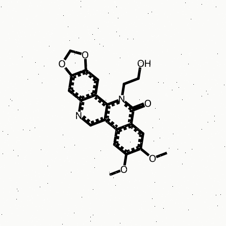 COc1cc2c(=O)n(CCO)c3c4cc5c(cc4ncc3c2cc1OC)OCO5